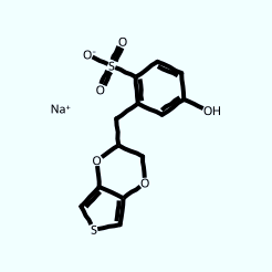 O=S(=O)([O-])c1ccc(O)cc1CC1COc2cscc2O1.[Na+]